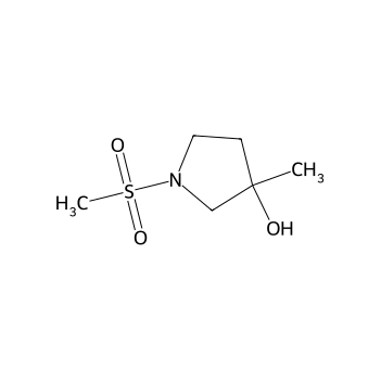 CC1(O)CCN(S(C)(=O)=O)C1